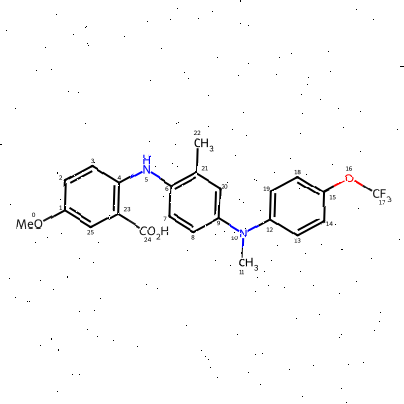 COc1ccc(Nc2ccc(N(C)c3ccc(OC(F)(F)F)cc3)cc2C)c(C(=O)O)c1